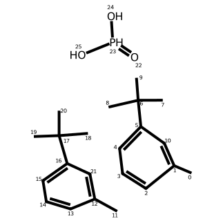 Cc1cccc(C(C)(C)C)c1.Cc1cccc(C(C)(C)C)c1.O=[PH](O)O